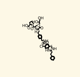 CC(N[C@@H](CCc1ccc(CNS(=O)(=O)c2cc3c(cc2Cl)N[C@H](CCc2ccccc2)NS3)cc1)C(=O)OC[C@@H](O)CO)C(=O)N1CCCC1C(=O)O